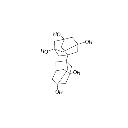 OC12CC3CC(O)(C1)CC(C14CC5(O)CC(O)(CC(O)(C5)C1)C4)(C3)C2